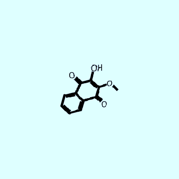 COC1=C(O)C(=O)c2ccccc2C1=O